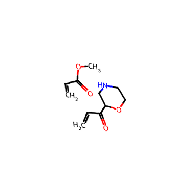 C=CC(=O)C1CNCCO1.C=CC(=O)OC